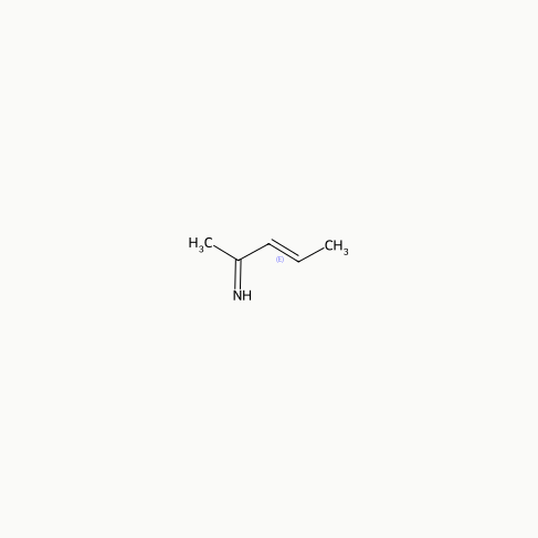 C/C=C/C(C)=N